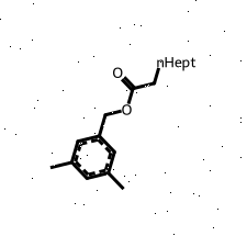 [CH2]CCCCCCCC(=O)OCc1cc(C)cc(C)c1